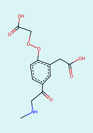 CNCC(=O)c1ccc(OOCC(=O)O)c(CC(=O)O)c1